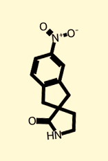 O=C1NCCC12Cc1ccc([N+](=O)[O-])cc1C2